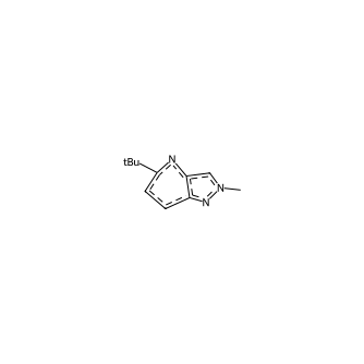 Cn1cc2nc(C(C)(C)C)ccc2n1